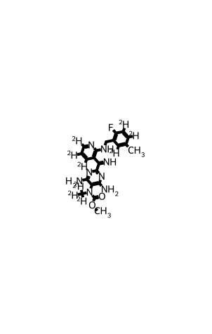 [2H]c1nc(NCc2c([2H])c(C)c([2H])c([2H])c2F)c(C(=N)c2nc(N)c(N(C(=O)OC)C([2H])([2H])[2H])c(N)n2)c([2H])c1[2H]